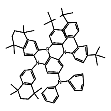 CC(C)(C)c1ccc(-c2cc(C(C)(C)C)ccc2N2c3ccc(C(C)(C)C)cc3B3c4cc5c(cc4N(c4ccc6c(c4)C(C)(C)CCC6(C)C)c4cc(N(c6ccccc6)c6ccccc6)cc2c43)C(C)(C)CCC5(C)C)cc1